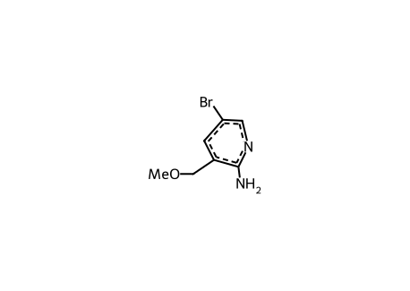 COCc1cc(Br)cnc1N